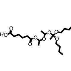 CCCCOC(C)(OCCCC)OC(C)OC(C)OC(=O)CCCCC(=O)O